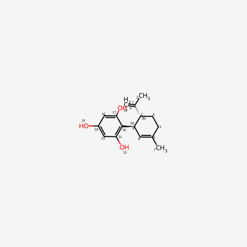 C=C(C)[C@@H]1CCC(C)=C[C@H]1c1c(O)cc(O)cc1O